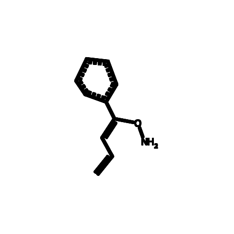 C=C/C=C(\ON)c1ccccc1